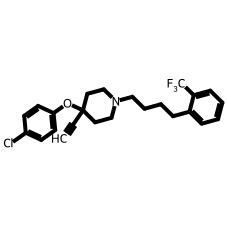 C#CC1(Oc2ccc(Cl)cc2)CCN(CCCCc2ccccc2C(F)(F)F)CC1